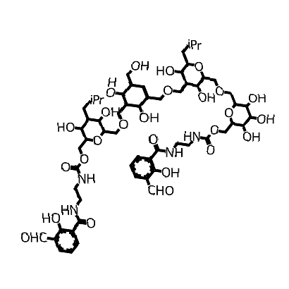 CC(C)CC1OC(COCC2OC(COC(=O)NCCNC(=O)c3cccc(C=O)c3O)C(O)C(O)C2O)C(O)C(COCC2CC(CO)C(O)C(COCC3OC(COC(=O)NCCNC(=O)c4cccc(C=O)c4O)C(O)C(CC(C)C)C3O)C2O)C1O